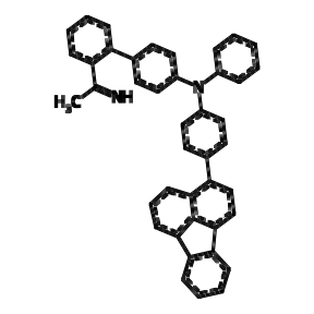 CC(=N)c1ccccc1-c1ccc(N(c2ccccc2)c2ccc(-c3ccc4c5c(cccc35)-c3ccccc3-4)cc2)cc1